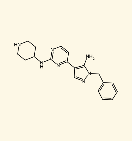 Nc1c(-c2ccnc(NC3CCNCC3)n2)cnn1Cc1ccccc1